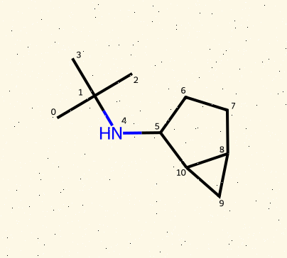 CC(C)(C)NC1CCC2CC21